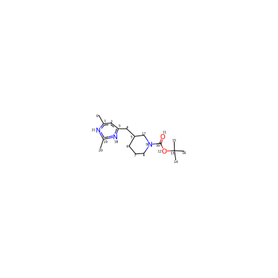 Cc1cc(CC2CCCN(C(=O)OC(C)(C)C)C2)nc(C)n1